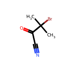 CC(C)(Br)C(=O)C#N